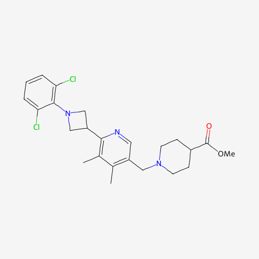 COC(=O)C1CCN(Cc2cnc(C3CN(c4c(Cl)cccc4Cl)C3)c(C)c2C)CC1